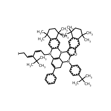 CC(C)(C)C(/C=C\CN1C2=C3B(c4cc5c(cc41)C(C)(C)CCC5(C)C)c1c(oc4cc5c(cc14)C(C)(C)CCC5(C)C)N(c1ccc(C(C)(C)C)cc1)C3CC(c1ccccc1)=C2)=C/CI